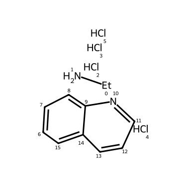 CCN.Cl.Cl.Cl.Cl.c1ccc2ncccc2c1